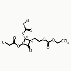 CCSC(=S)S[C@@H]1[C@@H](CCOC(=O)OCC(Cl)(Cl)Cl)C(=O)N1OC(=O)CCl